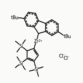 CC(C)(C)c1ccc2c(c1)[CH]([Zr+2][C]1=CC([Si](C)(C)C)=C([Si](C)(C)C)C1[Si](C)(C)C)c1cc(C(C)(C)C)ccc1-2.[Cl-].[Cl-]